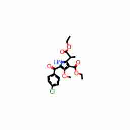 CCOC(=O)c1c(C(C)C(=O)OCC)[nH]c(C(=O)c2ccc(Cl)cc2)c1OC